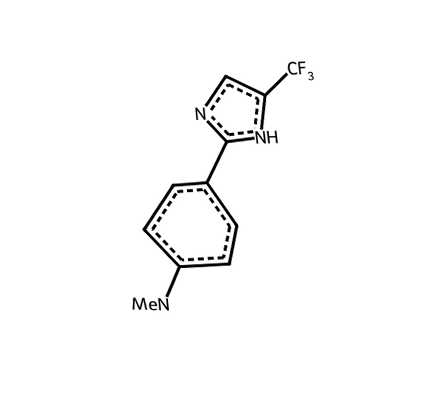 CNc1ccc(-c2ncc(C(F)(F)F)[nH]2)cc1